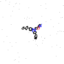 c1ccc(-c2ccc(-c3ccc(N(c4ccc(-c5ccccc5)cc4)c4ccc5c(c4)oc4ncccc45)cc3)cc2)cc1